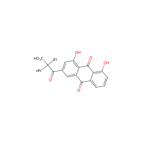 CCCC(CC)(C(=O)O)C(=O)c1cc(O)c2c(c1)C(=O)c1cccc(O)c1C2=O